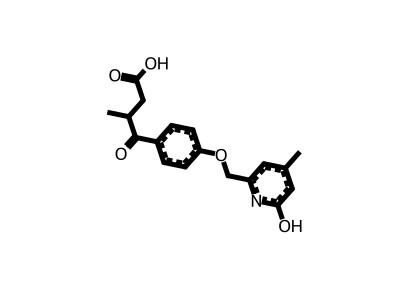 Cc1cc(O)nc(COc2ccc(C(=O)C(C)CC(=O)O)cc2)c1